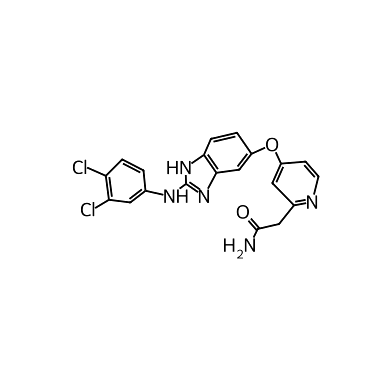 NC(=O)Cc1cc(Oc2ccc3[nH]c(Nc4ccc(Cl)c(Cl)c4)nc3c2)ccn1